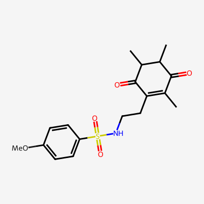 COc1ccc(S(=O)(=O)NCCC2=C(C)C(=O)C(C)C(C)C2=O)cc1